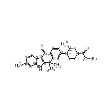 C[C@H]1CN(C(=O)OC(C)(C)C)CCN1c1ccc2c(c1)C(C)(C)c1[nH]c3cc(N)ccc3c1C2=O